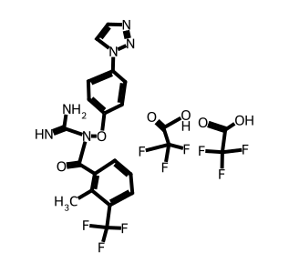 Cc1c(C(=O)N(Oc2ccc(-n3ccnn3)cc2)C(=N)N)cccc1C(F)(F)F.O=C(O)C(F)(F)F.O=C(O)C(F)(F)F